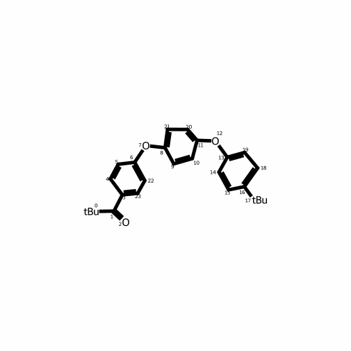 CC(C)(C)C(=O)c1ccc(Oc2ccc(Oc3ccc(C(C)(C)C)cc3)cc2)cc1